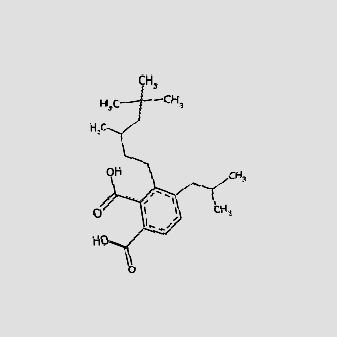 CC(C)Cc1ccc(C(=O)O)c(C(=O)O)c1CCC(C)CC(C)(C)C